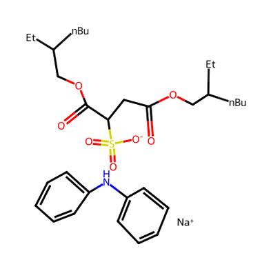 CCCCC(CC)COC(=O)CC(C(=O)OCC(CC)CCCC)S(=O)(=O)[O-].[Na+].c1ccc(Nc2ccccc2)cc1